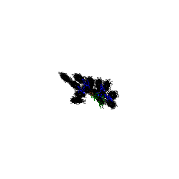 Fc1ccc(N2c3cc(N(c4ccccc4)c4ccccc4)cc4c3B(c3ccccc3N4c3ccccc3)c3cc4c(c(C(F)(F)F)c32)Sc2cc(N(c3ccc(-c5ccccc5)cc3)c3ccc(-c5ccccc5)cc3)cc3c2B4c2ccccc2N3c2ccccc2)c(F)c1